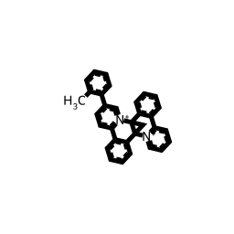 Cc1ccccc1-c1ccc2[n+](c1)C13CC1(c1ccccc1-2)[n+]1ccccc1-c1ccccc13